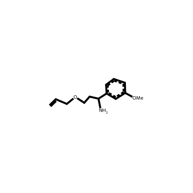 C=CCOCCC(N)c1cccc(OC)c1